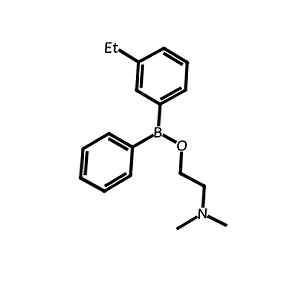 CCc1cccc(B(OCCN(C)C)c2ccccc2)c1